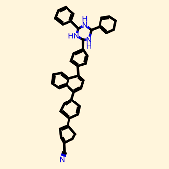 N#CC1=CC=C(c2ccc(-c3ccc(-c4ccc(C5NC(C6=CCCC=C6)NC(c6ccccc6)N5)cc4)c4ccccc34)cc2)CC1